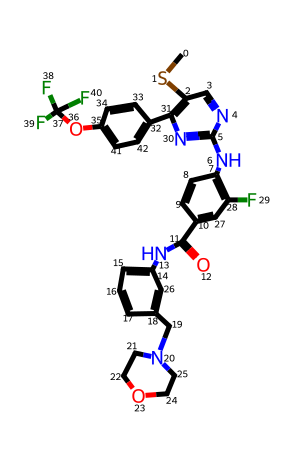 CSc1cnc(Nc2ccc(C(=O)Nc3cccc(CN4CCOCC4)c3)cc2F)nc1-c1ccc(OC(F)(F)F)cc1